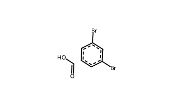 Brc1cccc(Br)c1.O=CO